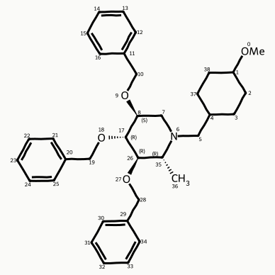 COC1CCC(CN2C[C@H](OCc3ccccc3)[C@@H](OCc3ccccc3)[C@H](OCc3ccccc3)[C@H]2C)CC1